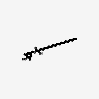 CCCCCCCCCCCCCCCCCCC(S)C(=O)OCc1cc(C)c(O)c(C)c1